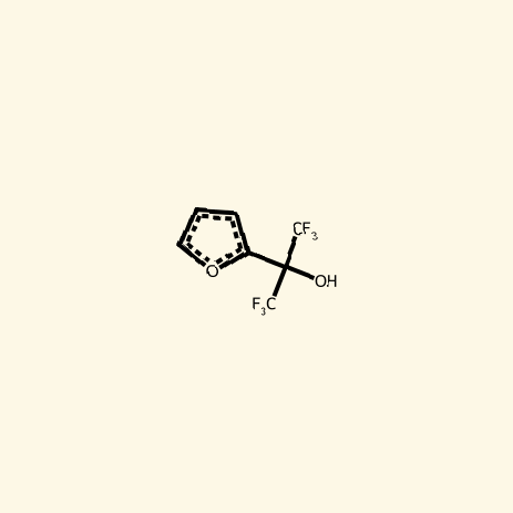 OC(c1ccco1)(C(F)(F)F)C(F)(F)F